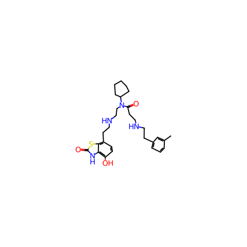 Cc1cccc(CCNCCC(=O)N(CCNCCc2ccc(O)c3[nH]c(=O)sc23)C2CCCCC2)c1